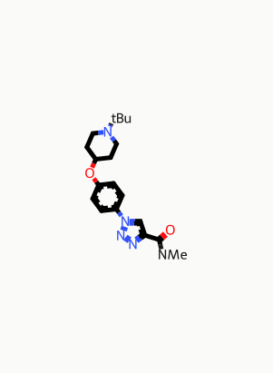 CNC(=O)c1cn(-c2ccc(OC3CCN(C(C)(C)C)CC3)cc2)nn1